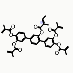 C=C(C)C(=O)Oc1ccc(-c2ccc(-c3ccc(OC(=O)C(=C)C)c(OC(=O)C(=C)C)c3)c(OC(=O)/C(C)=C/C)c2)cc1OC(=O)C(=C)C